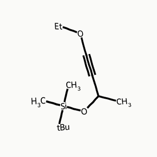 CCOC#CC(C)O[Si](C)(C)C(C)(C)C